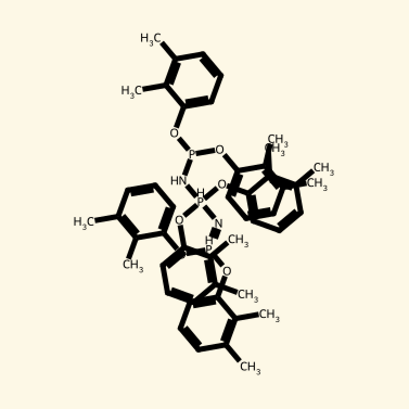 Cc1cccc(OP(N[PH](N=[PH](Oc2cccc(C)c2C)Oc2cccc(C)c2C)(Oc2cccc(C)c2C)Oc2cccc(C)c2C)Oc2cccc(C)c2C)c1C